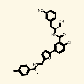 Cc1ccc([C@@H](C)NCc2ccc(-c3ccc(Cl)c(C(=O)N[C@@H](CO)Cc4cccc(C#N)c4)c3)o2)cc1